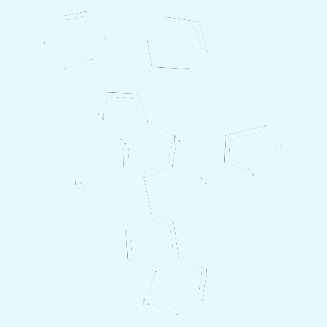 COc1c(-c2ccc3ncccc3c2)c(Nc2ccon2)nc2c(C3CC=CCC3)c(-c3ccccc3)nn12